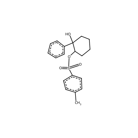 Cc1ccc(S(=O)(=O)OC2CCCCC2(O)c2ccccc2)cc1